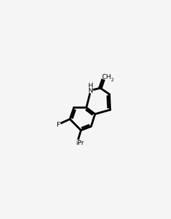 C=C1C=Cc2cc(C(C)C)c(F)cc2N1